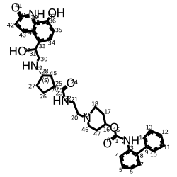 O=C(Nc1ccccc1-c1ccccc1)OC1CCN(CCNC(=O)[C@@H]2CC[C@H](NCC(O)c3ccc(O)c4[nH]c(=O)ccc34)C2)CC1